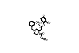 COC[C@H](CC1CN(Cc2ccccc2)CCN1C(=O)OC(C)(C)C)Oc1ccc(Cl)cc1Br